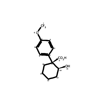 O=C(O)[C@]1(c2ccc(OC(F)(F)F)cc2)CCCC[C@@H]1O